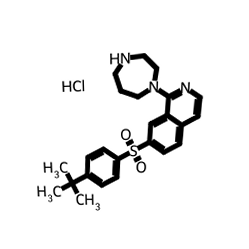 CC(C)(C)c1ccc(S(=O)(=O)c2ccc3ccnc(N4CCCNCC4)c3c2)cc1.Cl